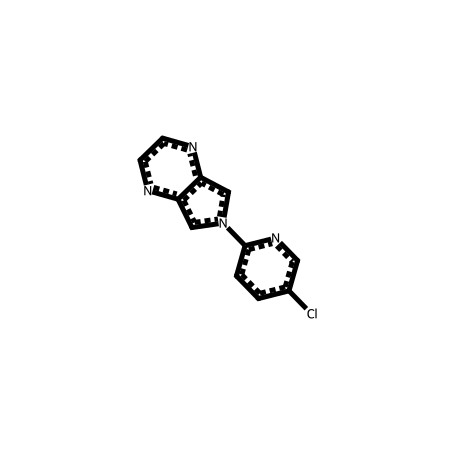 Clc1ccc(-n2cc3nccnc3c2)nc1